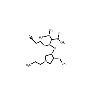 CCCN1C[C@@H](CC)[C@H](OP(OCCC#N)C(N(C)C)N(C)C)C1